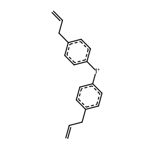 C=CCc1ccc([I+]c2ccc(CC=C)cc2)cc1